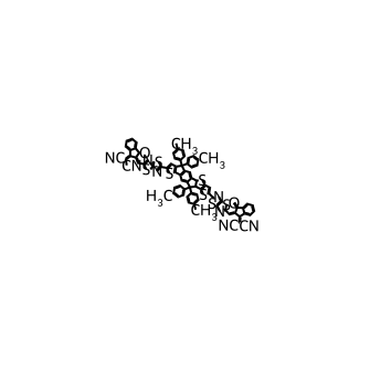 Cc1ccc(C2(c3ccc(C)cc3)c3cc4c(cc3-c3sc(-c5nc6sc(/C=C7\C(=O)c8ccccc8C7=C(C#N)C#N)nc6s5)cc32)C(c2ccc(C)cc2)(c2ccc(C)cc2)C2c3sc(-c5nc6sc(/C=C7\C(=O)c8ccccc8C7=C(C#N)C#N)nc6s5)cc3SC42)cc1